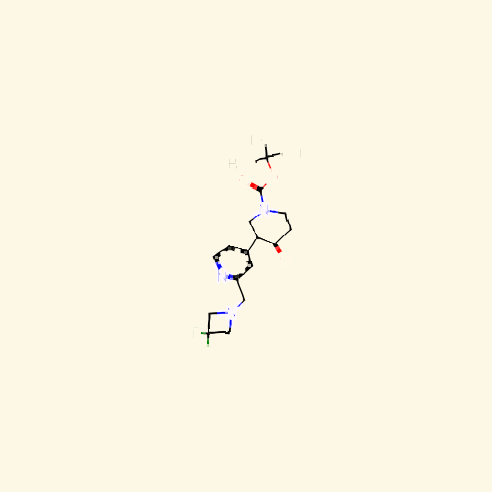 CC(C)(C)OC(=O)N1CCC(=O)C(c2ccnc(CN3CC(F)(F)C3)c2)C1